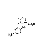 Cc1ccc(C(=O)O)c(Nc2ccc([N+](=O)[O-])cc2)c1C